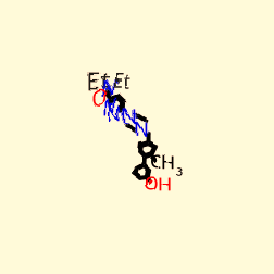 CCN(CC)C(=O)c1ccc(N2CCN(Cc3ccc(-c4cccc(O)c4)c(C)c3)CC2)nn1